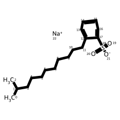 CC(C)CCCCCCCCCc1ccccc1S(=O)(=O)[O-].[Na+]